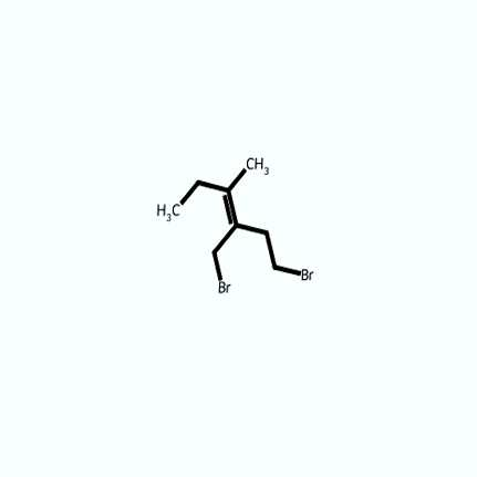 CCC(C)=C(CBr)CCBr